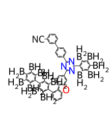 Bc1c(B)c(B)c(-c2nc(-c3ccc(-c4cccc(C#N)c4)cc3)nc(-c3ccc4c(c3)oc3cccc(-c5c(B)c(B)c(-c6c(B)c(B)c(B)c(B)c6B)c(B)c5B)c34)n2)c(B)c1B